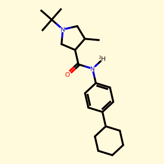 [2H]N(C(=O)C1CN(C(C)(C)C)CC1C)c1ccc(C2CCCCC2)cc1